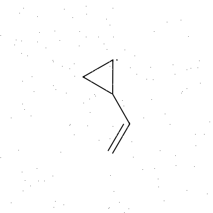 C=CC1[CH]C1